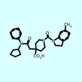 Cc1ccc2c(c1)N(C(=O)N1CCC(CC(=O)N(c3ccccc3)C3CCCC3)(C(=O)O)CC1)CC2